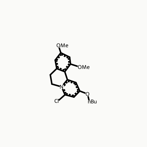 CCCCOc1cc(Cl)[n+]2c(c1)-c1c(cc(OC)cc1OC)CC2